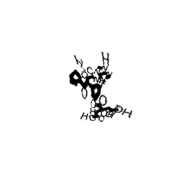 CC[C@H](Nc1ncnc2[nH]cnc12)c1oc2ccccc2c(=O)c1-c1cccc(F)c1.O=C(O)CC(O)(CC(=O)O)C(=O)O